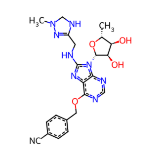 C[C@H]1O[C@@H](n2c(NCC3=NN(C)CN3)nc3c(OCc4ccc(C#N)cc4)ncnc32)[C@H](O)[C@@H]1O